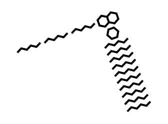 C1CCC2CCCCC2C1.C1CCCCC1.CCCCCC.CCCCCC.CCCCCC.CCCCCC.CCCCCC.CCCCCC.CCCCCC.CCCCCC.CCCCCC.CCCCCC.CCCCCC.CCCCCC.CCCCCC